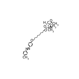 CC(=O)C(C)(C)CC(C)(Br)C(=O)OCCCCCCCCOc1ccc(N=Nc2ccc(C)cc2)cc1